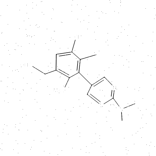 COc1c(CC=O)cc(Cl)c(C)c1-c1cnc(N(C)C)nc1